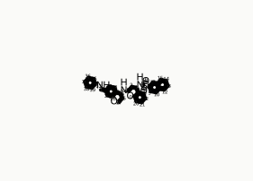 O=C(CC(NS(=O)(=O)c1ccc2ccccc2c1)c1ccccc1)NC1CCOc2cc(CNc3ccccc3)ccc21